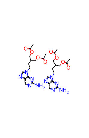 CC(=O)OCC(CCn1cnc2cnc(N)nc21)COC(C)=O.CC(=O)OCC(CCn1cnc2cnc(N)nc21)COC(C)=O